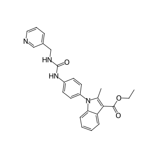 CCOC(=O)c1c(C)n(-c2ccc(NC(=O)NCc3cccnc3)cc2)c2ccccc12